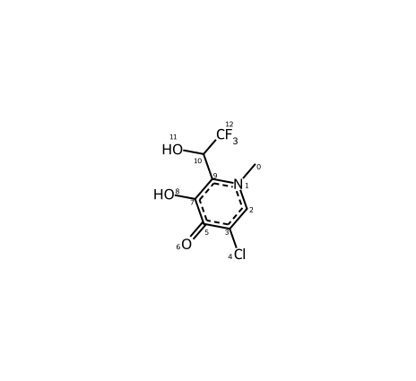 Cn1cc(Cl)c(=O)c(O)c1C(O)C(F)(F)F